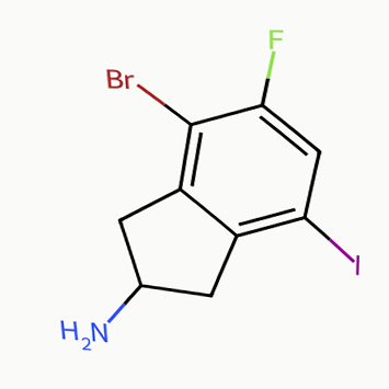 NC1Cc2c(I)cc(F)c(Br)c2C1